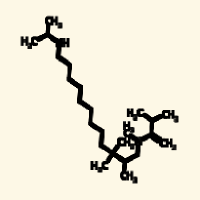 C=C(C(C)C)N(C)CC(C)C(C)(C)CCCCCCCCCNC(C)C